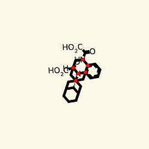 O=C(O)C(=O)Nc1ccccc1N(C(=O)C(=O)O)C1CC2CCCC(C1)C2[C@H]1CC2CCC[C@@H](C2)C1